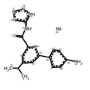 CC(C)c1cc(C(=O)Nc2nnn[nH]2)nc(-c2ccc(N)cc2)c1.[Na]